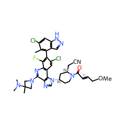 COC/C=C/C(=O)N1CC[C@H](n2cnc3c(N4CC(C)(N(C)C)C4)nc4c(F)c(-c5c(C)c(Cl)cc6[nH]ncc56)c(Cl)cc4c32)C[C@H]1CC#N